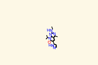 CCNc1nc(C)c2cc(-c3ccn[nH]3)c(=O)n(C(C)C)c2n1